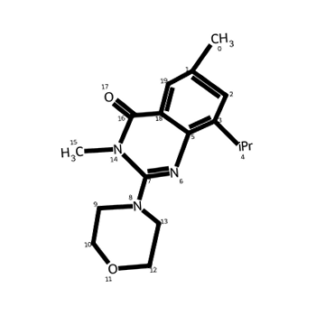 Cc1cc(C(C)C)c2nc(N3CCOCC3)n(C)c(=O)c2c1